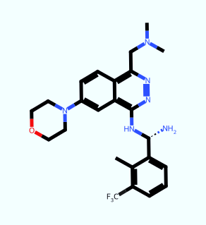 Cc1c([C@@H](N)Nc2nnc(CN(C)C)c3ccc(N4CCOCC4)cc23)cccc1C(F)(F)F